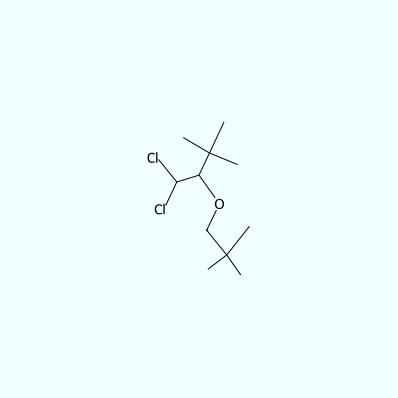 CC(C)(C)COC(C(Cl)Cl)C(C)(C)C